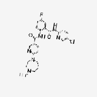 CN1CCCN(c2ccc(C(=O)Nc3ccc(F)cc3C(=O)Nc3ccc(Cl)cn3)cn2)CC1